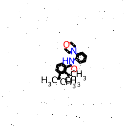 CC(C)c1cccc(C(=O)Nc2ccccc2N2CCOCC2)c1C(C)C